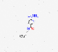 CC(C)(C)CCCNC(=O)c1ccc(NN)nc1